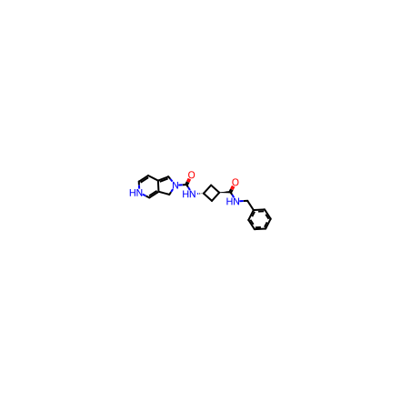 O=C(N[C@H]1C[C@H](C(=O)NCc2ccccc2)C1)N1C=C2C=CNC=C2C1